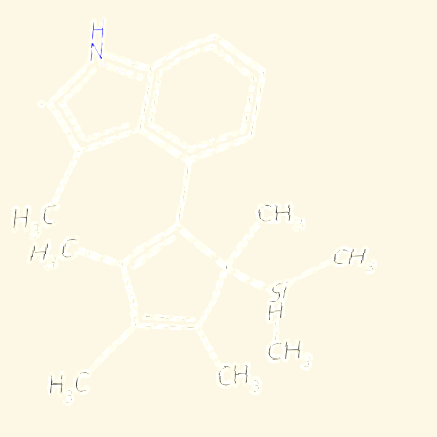 CC1=C(C)C(C)([SiH](C)C)C(c2cccc3[nH][c]c(C)c23)=C1C